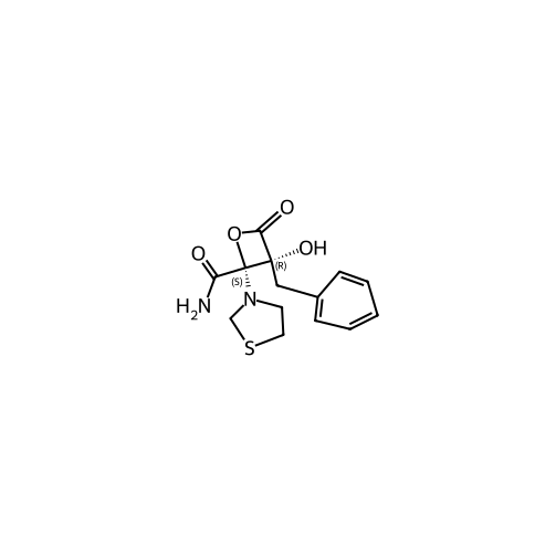 NC(=O)[C@@]1(N2CCSC2)OC(=O)[C@@]1(O)Cc1ccccc1